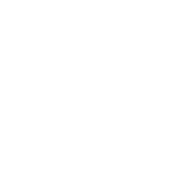 C1CCC2CCC3C(=C2C1)CCC1CCCC13